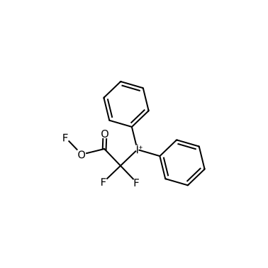 O=C(OF)C(F)(F)[I+](c1ccccc1)c1ccccc1